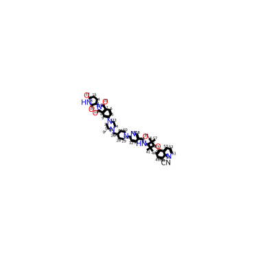 C[C@@H]1CN(c2ccc3c(c2)C(=O)N(C2CCC(=O)NC2=O)C3=O)CCN1CC1CCN(c2ccc(C(=O)NC3C(C)(C)C(Oc4ccc(C#N)c5ncccc45)C3(C)C)cn2)CC1